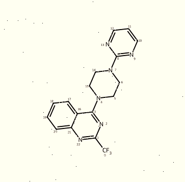 FC(F)(F)c1nc(N2CCN(c3ncccn3)CC2)c2ccccc2n1